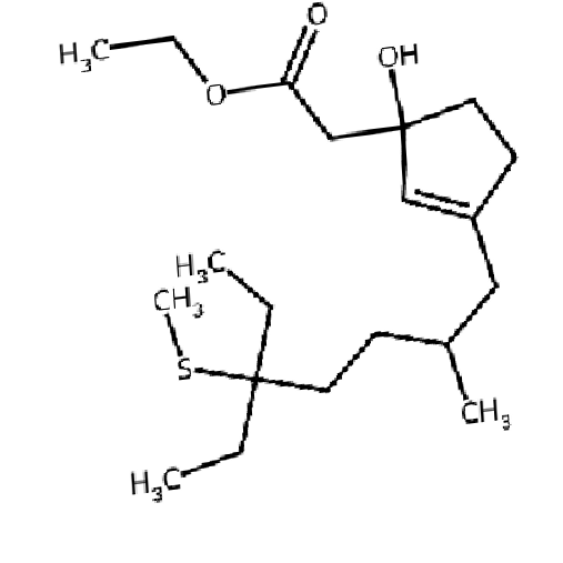 CCOC(=O)CC1(O)C=C(CC(C)CCC(CC)(CC)SC)CC1